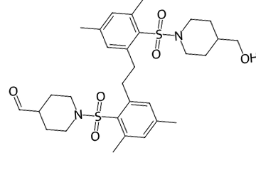 Cc1cc(C)c(S(=O)(=O)N2CCC(C=O)CC2)c(CCc2cc(C)cc(C)c2S(=O)(=O)N2CCC(CO)CC2)c1